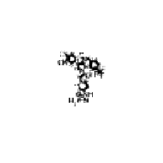 CN(Cc1ccc(C(F)(F)F)c(F)c1)[C@H]1CN(C(=O)CN2CCC(NS(C)(=O)=O)CC2)C[C@@H]1c1ccc(Cl)c(Cl)c1